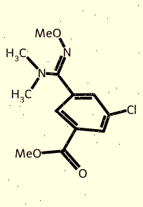 CON=C(c1cc(Cl)cc(C(=O)OC)c1)N(C)C